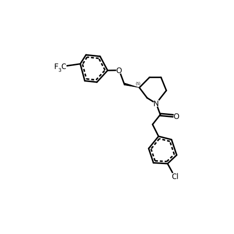 O=C(Cc1ccc(Cl)cc1)N1CCC[C@H](COc2ccc(C(F)(F)F)cc2)C1